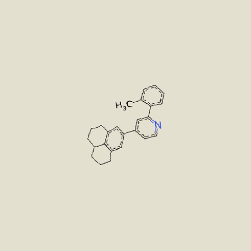 Cc1ccccc1-c1cc(-c2cc3c4c(c2)CCCC4CCC3)ccn1